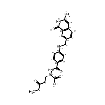 CCC(=O)CC[C@H](NC(=O)c1ccc(NCc2cnc3cc(N)[nH]c(=O)c3n2)cc1)C(=O)O